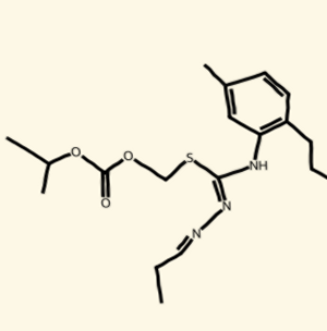 CC/C=N/N=C(/Nc1cc(C)ccc1CCC)SCOC(=O)OC(C)C